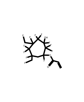 C=CC(=O)OC1(F)CC(F)(CF)C(F)(F)C(F)(CF)C(F)(F)C(O)(F)C1(F)F